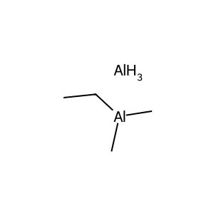 C[CH2][Al]([CH3])[CH3].[AlH3]